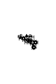 COC[C@H]1C[C@@H]1c1cc(C(F)(F)F)cnc1-c1nnc(NC2N=C(c3ccccc3)c3ccccc3NC2=O)o1